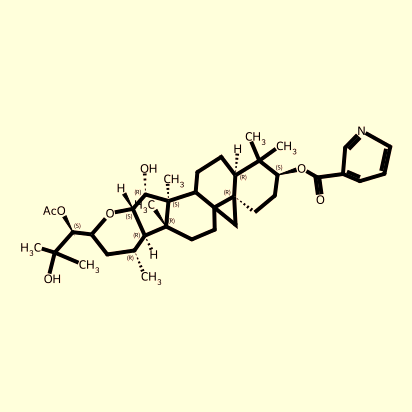 CC(=O)O[C@@H](C1C[C@@H](C)[C@H]2[C@H](O1)[C@H](O)[C@@]1(C)C3CC[C@H]4C(C)(C)[C@@H](OC(=O)c5cccnc5)CC[C@@]45CC35CC[C@]21C)C(C)(C)O